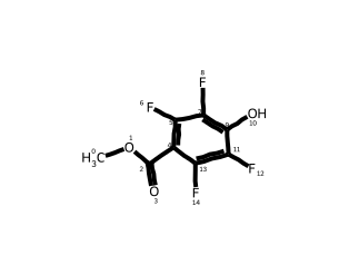 COC(=O)c1c(F)c(F)c(O)c(F)c1F